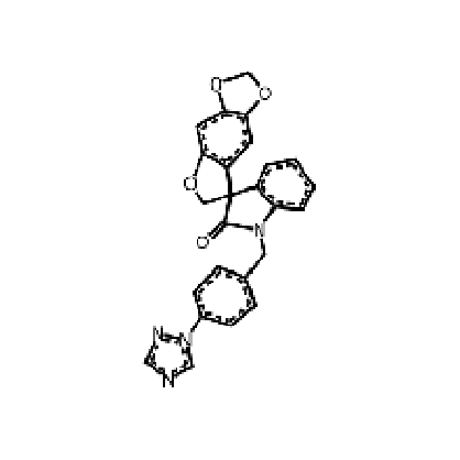 O=C1N(Cc2ccc(-n3cncn3)cc2)c2ccccc2C12COc1cc3c(cc12)OCO3